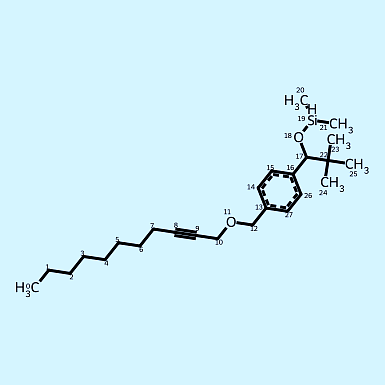 CCCCCCCCC#CCOCc1ccc(C(O[SiH](C)C)C(C)(C)C)cc1